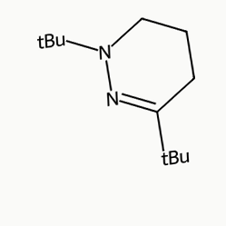 CC(C)(C)C1=NN(C(C)(C)C)CCC1